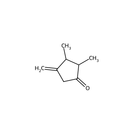 C=C1CC(=O)C(C)C1C